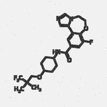 CC(C)(COC1CCC(NC(=O)c2cc(F)c3c(c2)-c2cncn2CCO3)CC1)C(F)(F)F